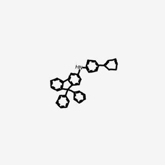 C1=CCCC(c2ccc(Nc3ccc4c(c3)-c3ccccc3C4(c3ccccc3)c3ccccc3)cc2)=C1